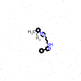 Cc1cccc(N2CCN(CCCCNc3cc(-c4ccccc4)ccn3)CC2)c1C